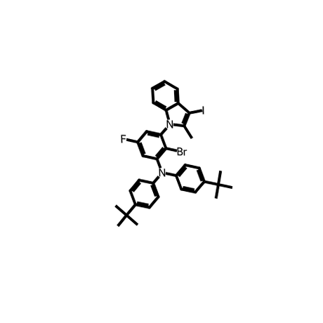 Cc1c(I)c2ccccc2n1-c1cc(F)cc(N(c2ccc(C(C)(C)C)cc2)c2ccc(C(C)(C)C)cc2)c1Br